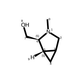 CN1CC2C[C@@H]2[C@H]1CO